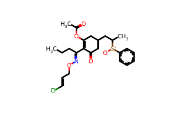 CCCC(=NOCC=CCl)C1=C(OC(C)=O)CC(CC(C)[S+]([O-])c2ccccc2)CC1=O